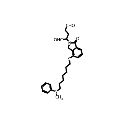 CN(CCCCCCCSc1cccc2c1CN(C(C=O)CCC=O)C2=O)c1ccccc1